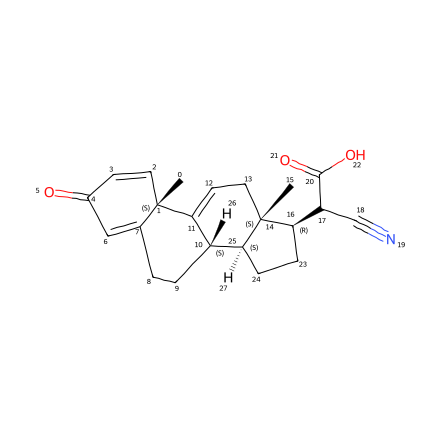 C[C@]12C=CC(=O)C=C1CC[C@@H]1C2=CC[C@]2(C)[C@@H](C(C#N)C(=O)O)CC[C@@H]12